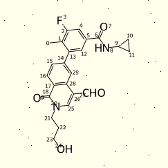 Cc1c(F)cc(C(=O)NC2CC2)cc1-c1ccc2c(=O)n(CCCO)cc(C=O)c2c1